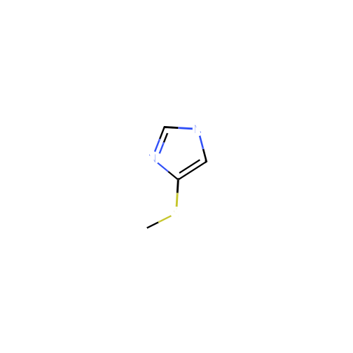 CSC1=C[N]C=N1